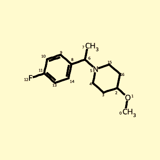 COC1CCN(C(C)c2ccc(F)cc2)CC1